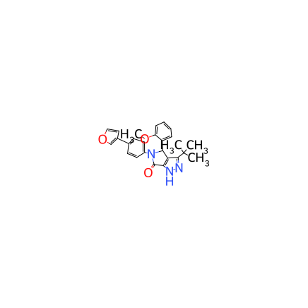 COc1ccccc1C1c2c(C(C)(C)C)n[nH]c2C(=O)N1c1ccc(-c2ccoc2)cc1